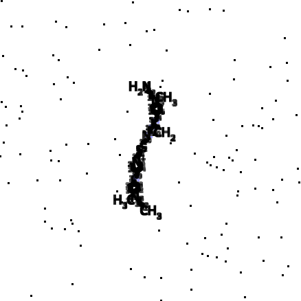 C=CC(/C=C/c1ccc(N(C)CCCN)cc1)=C\C=N\CCSSCC[n+]1ccc(/C=C/c2ccc(N(C)CCCC)cc2)cc1